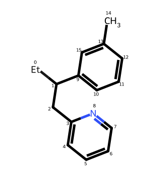 CCC(Cc1ccccn1)c1cccc(C)c1